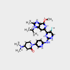 COc1nc(-c2nc(Nc3ccc(N4CCC(N(C)C)CC4=O)cn3)ncc2F)cc2c1nc(C)n2C(C)C